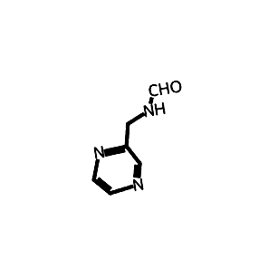 O=CNCc1cnccn1